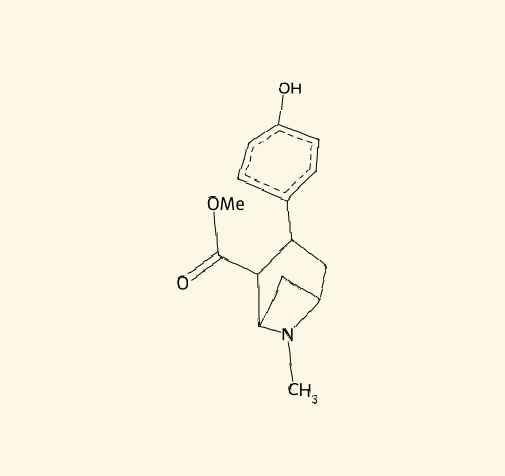 COC(=O)C1C(c2ccc(O)cc2)CC2CC1N2C